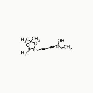 C=C[C@H](O)C#CC#CC[C@H]1OC(C)(C)O[C@@H]1C